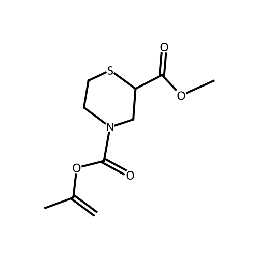 C=C(C)OC(=O)N1CCSC(C(=O)OC)C1